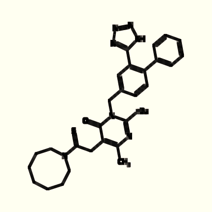 CCCCc1nc(C)c(CC(=S)N2CCCCCCC2)c(=O)n1Cc1ccc(-c2ccccc2)c(-c2nnn[nH]2)c1